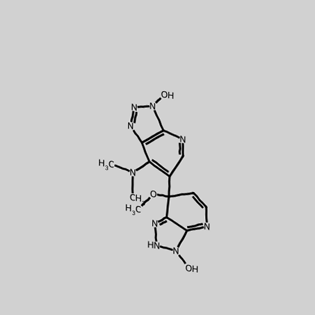 COC1(c2cnc3c(nnn3O)c2N(C)C)C=CN=C2C1=NNN2O